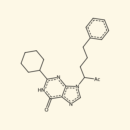 CC(=O)C(CCCc1ccccc1)n1cnc2c(=O)[nH]c(C3CCCCC3)nc21